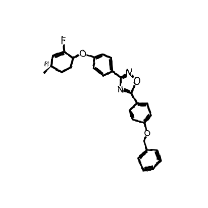 C[C@H]1C=C(F)C(Oc2ccc(-c3noc(-c4ccc(OCc5ccccc5)cc4)n3)cc2)CC1